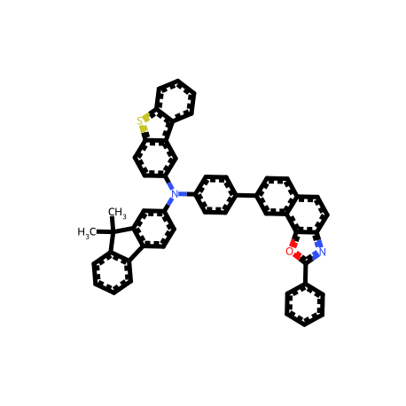 CC1(C)c2ccccc2-c2ccc(N(c3ccc(-c4ccc5ccc6nc(-c7ccccc7)oc6c5c4)cc3)c3ccc4sc5ccccc5c4c3)cc21